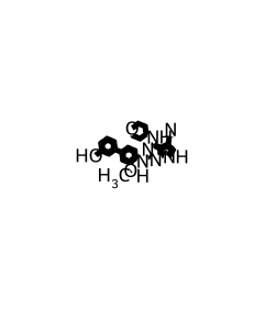 COc1cc(-c2cccc(O)c2)ccc1Nc1nc(NC2CCOCC2)c2c(C#N)c[nH]c2n1